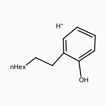 CCCCCCCCc1ccccc1O.[H+]